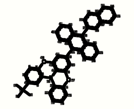 CC(C)(C)c1ccc2c(c1)B1c3ccccc3Oc3cc(-c4c5ccccc5c(-c5ccc6ccccc6c5)c5ccccc45)cc(c31)O2